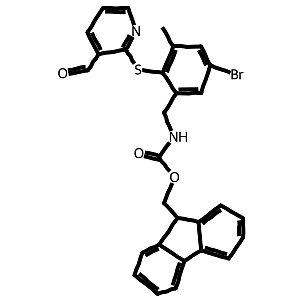 Cc1cc(Br)cc(CNC(=O)OCC2c3ccccc3-c3ccccc32)c1Sc1ncccc1C=O